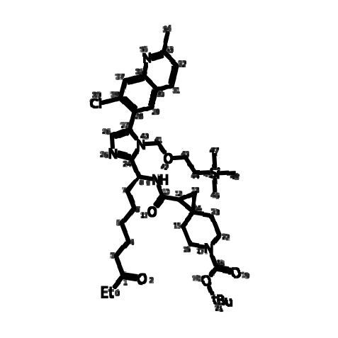 CCC(=O)CCCCC[C@H](NC(=O)C1CC12CCN(C(=O)OC(C)(C)C)CC2)c1ncc(-c2cc3ccc(C)nc3cc2Cl)n1COCC[Si](C)(C)C